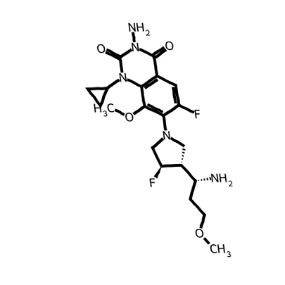 COCC[C@@H](N)[C@H]1CN(c2c(F)cc3c(=O)n(N)c(=O)n(C4CC4)c3c2OC)C[C@@H]1F